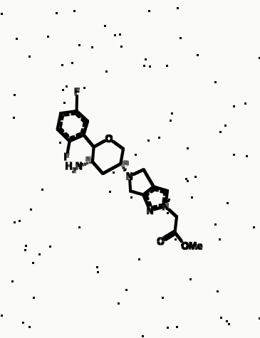 COC(=O)Cn1cc2c(n1)CN([C@H]1COC(c3cc(F)ccc3F)[C@@H](N)C1)C2